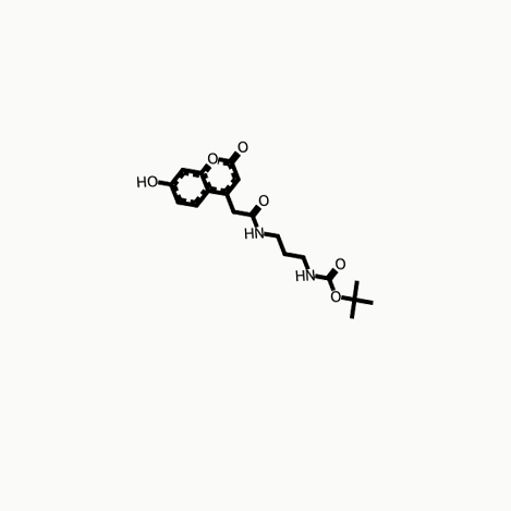 CC(C)(C)OC(=O)NCCCNC(=O)Cc1cc(=O)oc2cc(O)ccc12